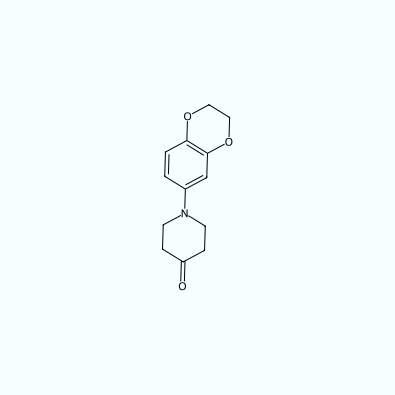 O=C1CCN(c2ccc3c(c2)OCCO3)CC1